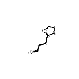 O=[C]CCC1CCCO1